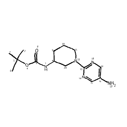 CC(C)(C)OC(=O)NC1CCCN(c2ncc(N)cn2)C1